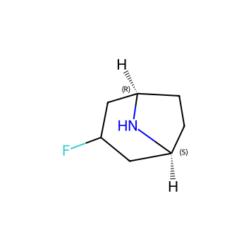 FC1C[C@H]2CC[C@@H](C1)N2